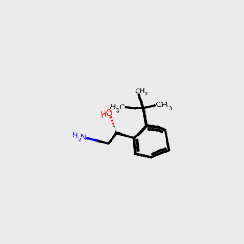 CC(C)(C)c1ccccc1[C@@H](O)CN